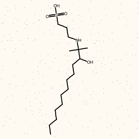 CCCCCCCCCCC(O)C(C)(C)NCCCS(=O)(=O)O